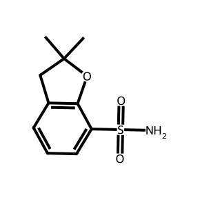 CC1(C)Cc2cccc(S(N)(=O)=O)c2O1